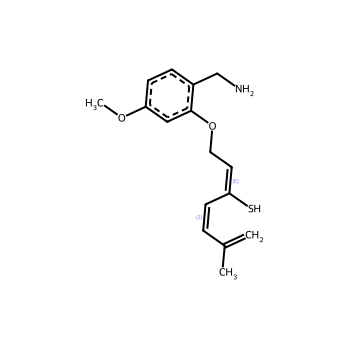 C=C(C)/C=C\C(S)=C/COc1cc(OC)ccc1CN